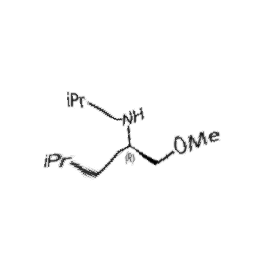 COC[C@@H](CC(C)C)NC(C)C